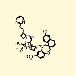 CC(C)(C)[Si](C)(C)O[C@@H](/C=C\[C@H]1CC[C@@H]1CSc1ncccn1)[C@@H]1CC[C@H]1CN1CC2(CCCc3cc(Cl)ccc32)COc2ccc(C(=O)O)cc21